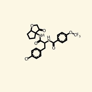 O=C(NC(Cc1ccc(Cl)cc1)C(=O)NC12CCCC1OCC2=O)c1ccc(OC(F)(F)F)cc1